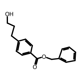 O=C(OCc1ccccc1)c1ccc(CCCO)cc1